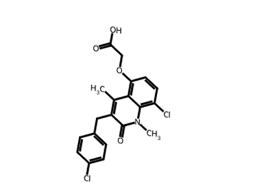 Cc1c(Cc2ccc(Cl)cc2)c(=O)n(C)c2c(Cl)ccc(OCC(=O)O)c12